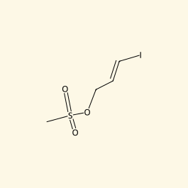 CS(=O)(=O)OCC=CI